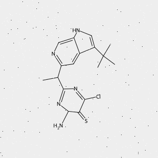 CC(C1=NC(N)C(=S)C(Cl)=N1)c1cc2c(C(C)(C)C)c[nH]c2cn1